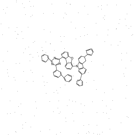 C1=CC(c2ccccc2)Cc2c1n(-c1cccc3c1oc1cccc(-c4nc(-c5ccccc5)nc(-c5cccc(-c6ccccc6)c5)n4)c13)c1cc(-c3ccccc3)ccc21